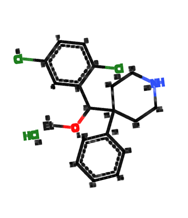 CCOC(c1cc(Cl)ccc1Cl)C1(c2ccccc2)CCNCC1.Cl